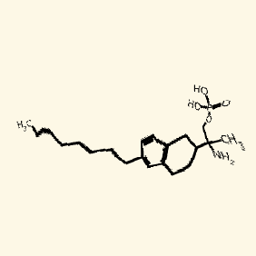 CCCCCCCCc1ccc2c(c1)CCC(C(C)(N)COP(=O)(O)O)C2